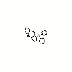 CC(c1ccccc1)(c1ccccc1)c1cccc2c1C=Cc1ccccc1N2